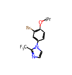 CC(C)Oc1ccc(-n2ccnc2C(F)(F)F)cc1Br